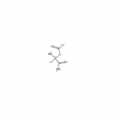 CC(=O)CC(C)(O)C(=O)O